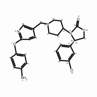 Nc1ccc(Oc2ccc(CN3CCC(N4C(=O)OC[C@H]4c4cccc(Cl)c4)CC3)cn2)cc1